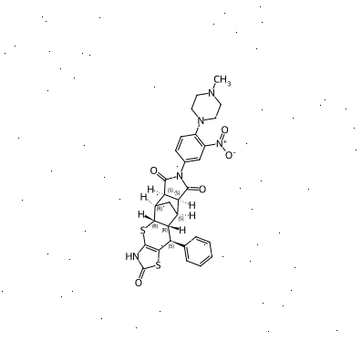 CN1CCN(c2ccc(N3C(=O)[C@@H]4[C@H]5C[C@@H]([C@@H]4C3=O)[C@@H]3[C@@H](c4ccccc4)c4sc(=O)[nH]c4S[C@H]53)cc2[N+](=O)[O-])CC1